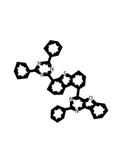 c1ccc(-c2nc(-c3ccccc3)nc(-c3cccc4c3sc3cccc(-c5nc(-c6ccccc6)nc6c5oc5ccccc56)c34)n2)cc1